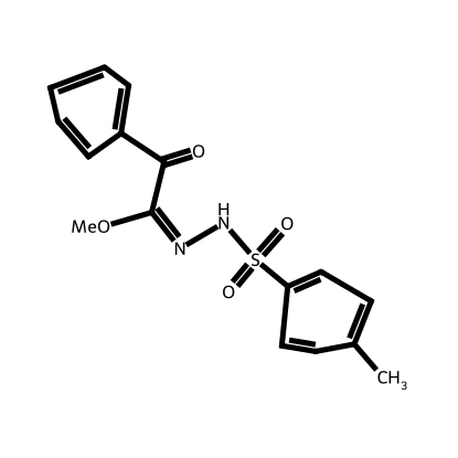 COC(=NNS(=O)(=O)c1ccc(C)cc1)C(=O)c1ccccc1